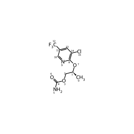 C[C@@H](COC(N)=O)Oc1ncc(C(F)(F)F)cc1Cl